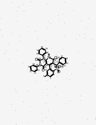 Cc1ccc(S(=O)(=O)O)c(-c2c(Cc3ccccc3)c(=O)n(C)c3c2c(=O)n(-c2ccccc2)c(=O)n3-c2ccccc2)c1